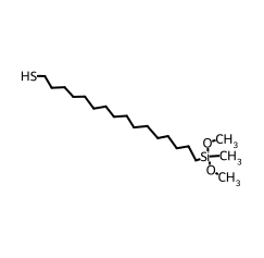 CO[Si](C)(CCCCCCCCCCCCCCCCS)OC